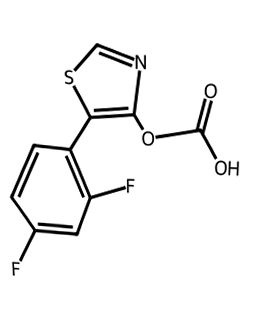 O=C(O)Oc1ncsc1-c1ccc(F)cc1F